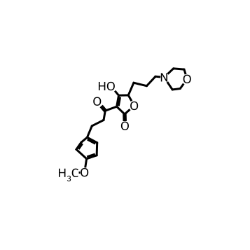 COc1ccc(CCC(=O)C2=C(O)C(CCCN3CCOCC3)OC2=O)cc1